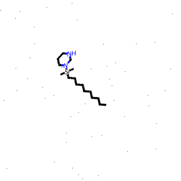 CCCCCCCCCC[Si](C)(C)N1CCCNC1